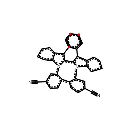 N#Cc1ccc2c3ccc(C#N)cc3n3c4ccccc4c(-c4ccccc4)c3c3c(-c4ccccc4)c4ccccc4n3c2c1